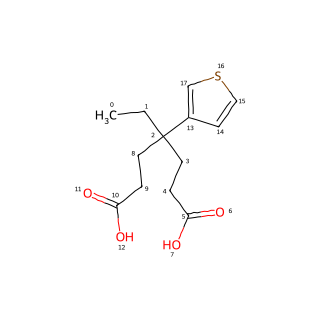 CCC(CCC(=O)O)(CCC(=O)O)c1ccsc1